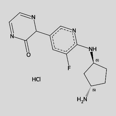 Cl.N[C@H]1CC[C@H](Nc2ncc(C3N=CC=NC3=O)cc2F)C1